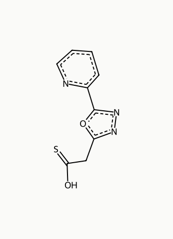 OC(=S)Cc1nnc(-c2ccccn2)o1